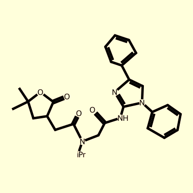 CC(C)N(CC(=O)Nc1nc(-c2ccccc2)cn1-c1ccccc1)C(=O)CC1CC(C)(C)OC1=O